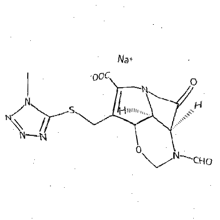 Cn1nnnc1SCC1=C(C(=O)[O-])N2C(=O)[C@@H]3[C@H]2C1OCN3C=O.[Na+]